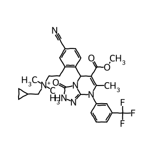 COC(=O)C1=C(C)N(c2cccc(C(F)(F)F)c2)c2n[nH]c(=O)n2C1c1ccc(C#N)cc1CC[N+](C)(C)CC1CC1